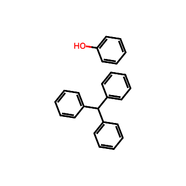 Oc1ccccc1.c1ccc(C(c2ccccc2)c2ccccc2)cc1